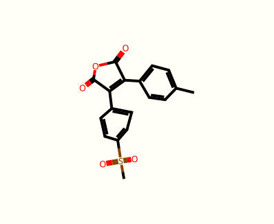 Cc1ccc(C2=C(c3ccc(S(C)(=O)=O)cc3)C(=O)OC2=O)cc1